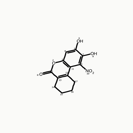 O=c1oc2cc(O)c(O)c([N+](=O)[O-])c2c2c1CCCC2